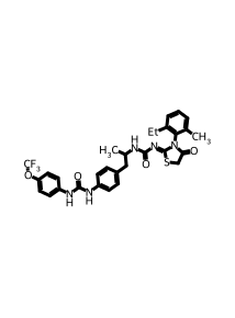 CCc1cccc(C)c1N1C(=O)CS/C1=N\C(=O)NC(C)Cc1ccc(NC(=O)Nc2ccc(OC(F)(F)F)cc2)cc1